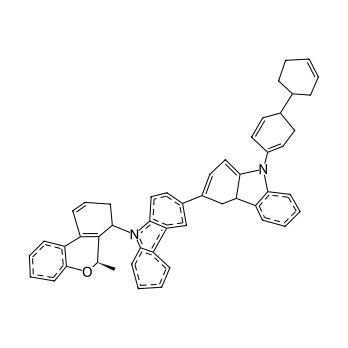 C[C@H]1Oc2ccccc2C2=C1C(n1c3ccccc3c3cc(C4=CC=C5C(C4)c4ccccc4N5C4=CCC(C5CC=CCC5)C=C4)ccc31)CC=C2